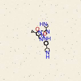 O=c1c(C2CC2)cc2cnc(Nc3ccc(C4CCNCC4)cc3)nc2n1Cc1ocnc1C1CCNC1